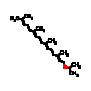 CC(C)=CCC/C(C)=C/CC/C(C)=C/CC/C(C)=C/COC(C)C